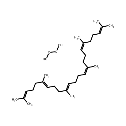 CC(C)=CCCC(C)=CCCC(C)=CCCC=C(C)CCC=C(C)CCC=C(C)C.OOOO